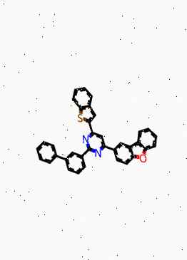 c1ccc(-c2cccc(-c3nc(-c4ccc5oc6ccccc6c5c4)cc(-c4cc5ccccc5s4)n3)c2)cc1